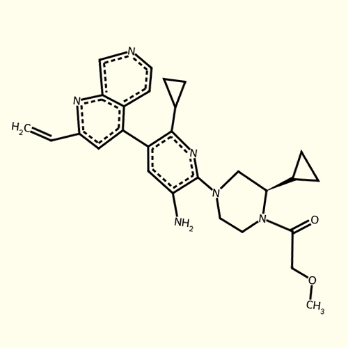 C=Cc1cc(-c2cc(N)c(N3CCN(C(=O)COC)[C@H](C4CC4)C3)nc2C2CC2)c2ccncc2n1